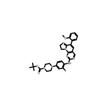 COc1ccccc1C1=Cc2cnc(Nc3ccc(N4CCN(C(=O)OC(C)(C)C)CC4)cc3F)nc2N2CCN=C12